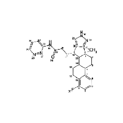 C[C@]12CCC3c4cccc(F)c4CCC3C1[C@H](CCC(=O)Nc1cccnn1)c1c[nH]nc12